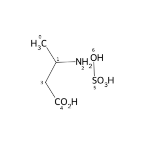 CC(N)CC(=O)O.O=S(=O)(O)O